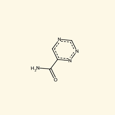 NC(=O)c1cncnn1